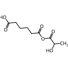 CC(O)C(=O)OC(=O)CCCCC(=O)O